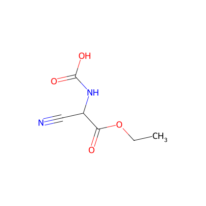 CCOC(=O)C(C#N)NC(=O)O